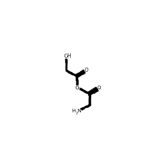 NCC(=O)OC(=O)CO